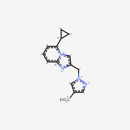 CCOC(=O)c1cnn(Cc2cn3c(C4CC4)cccc3n2)c1